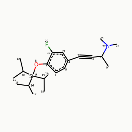 CC(C#Cc1ccc(O[Si](C(C)C)(C(C)C)C(C)C)c(F)c1)N(C)C